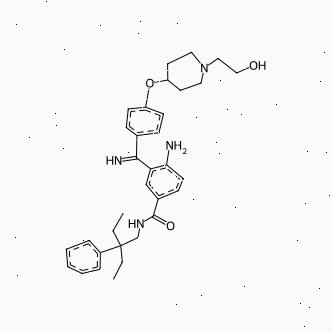 CCC(CC)(CNC(=O)c1ccc(N)c(C(=N)c2ccc(OC3CCN(CCO)CC3)cc2)c1)c1ccccc1